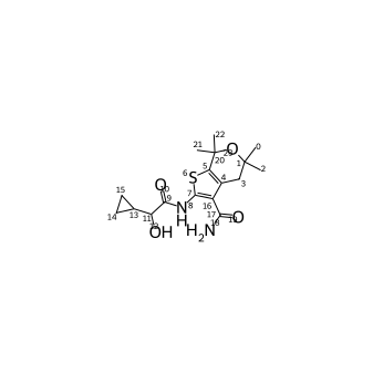 CC1(C)Cc2c(sc(NC(=O)C(O)C3CC3)c2C(N)=O)C(C)(C)O1